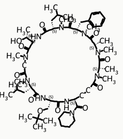 CC(C)C[C@H]1C(=O)N[C@@H](COC(C)(C)C)C(=O)N[C@H](C(=O)N2CCCCC2)CCC(=O)N(C)[C@@H](C)C(=O)N(C)[C@@H](C)C(=O)N(C)[C@@H](Cc2ccccc2)C(=O)N(C)[C@@H](CC(C)C)C(=O)N[C@@H]([C@@H](C)O)C(=O)N(C)CC(=O)N1C